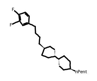 CCCCC[C@H]1CC[C@H]([C@H]2CC[C@H](CCCCc3ccc(F)c(F)c3)CC2)CC1